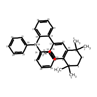 CC1(C)CCC(C)(C)c2cc([N+](=O)[O-])c(-c3ccccc3N(c3ccccc3)c3ccccc3)cc21